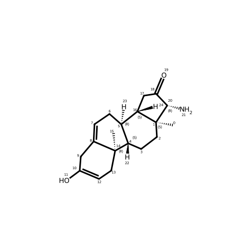 C[C@]12CC[C@H]3[C@@H](CC=C4CC(O)=CC[C@@]43C)[C@@H]1CC(=O)[C@@H]2N